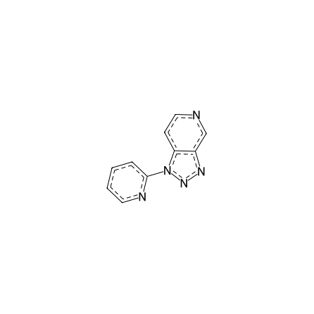 c1ccc(-n2nnc3cnccc32)nc1